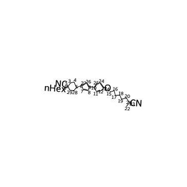 CCCCCCC1(C#N)CCC(c2ccc(-c3ccc(OCCCCCCC(C)C#N)cc3)cc2)CC1